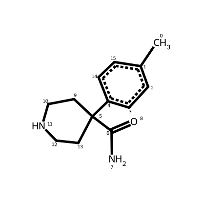 Cc1ccc(C2(C(N)=O)CCNCC2)cc1